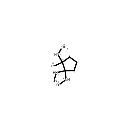 CC(C)NC1(NC(C)C)CCCC1(N[SiH3])C(C)C